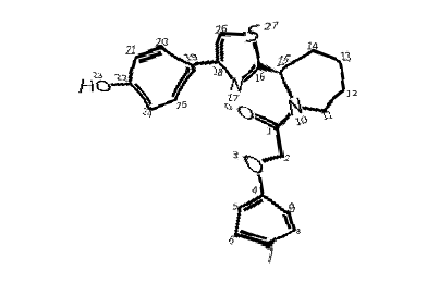 O=C(COc1ccccc1)N1CCCC[C@@H]1c1nc(-c2ccc(O)cc2)cs1